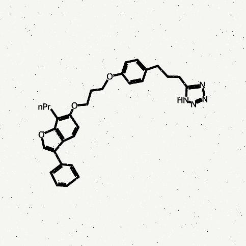 CCCc1c(OCCCOc2ccc(CCCc3nnn[nH]3)cc2)ccc2c(-c3ccccc3)coc12